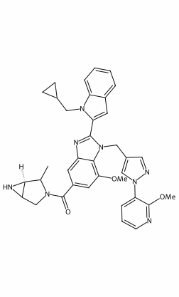 COc1ncccc1-n1cc(Cn2c(-c3cc4ccccc4n3CC3CC3)nc3cc(C(=O)N4CC5N[C@H]5C4C)cc(OC)c32)cn1